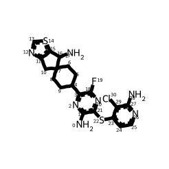 Nc1nc(C2CCC3(CC2)Cc2ncsc2C3N)c(F)nc1Sc1ccnc(N)c1Cl